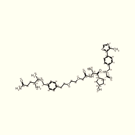 Cc1ncsc1-c1ccc(CNC(=O)[C@@H]2C[C@@H](O)CN2C(=O)[C@@H](NC(=O)COCCOCCc2ccc(CO[C@H](C)[C@@H](N)CCC(N)=O)cc2)C(C)(C)C)cc1